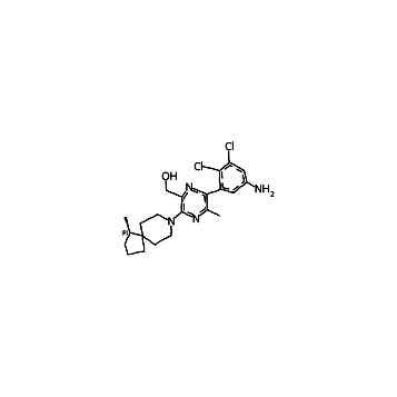 Cc1nc(N2CCC3(CCC[C@H]3C)CC2)c(CO)nc1-c1cc(N)cc(Cl)c1Cl